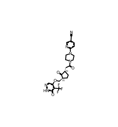 N#Cc1ccc(N2CCN(C(=O)C[C@@H]3CC[C@@H](COc4cn[nH]c(=O)c4C(F)(F)F)C3=O)CC2)nc1